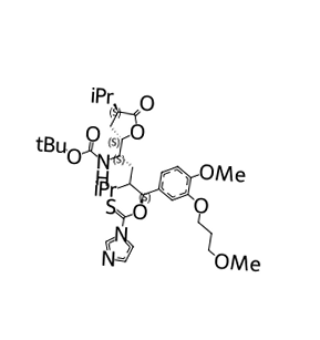 COCCCOc1cc([C@@H](OC(=S)n2ccnc2)C(C[C@H](NC(=O)OC(C)(C)C)[C@@H]2C[C@@H](C(C)C)C(=O)O2)C(C)C)ccc1OC